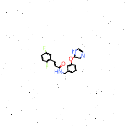 C[C@H](NC(=O)C=Cc1cc(F)ccc1F)c1cccc(Oc2cnccn2)c1